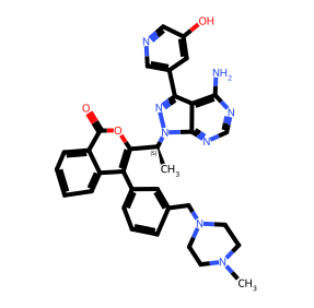 C[C@@H](c1oc(=O)c2ccccc2c1-c1cccc(CN2CCN(C)CC2)c1)n1nc(-c2cncc(O)c2)c2c(N)ncnc21